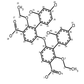 CCOc1c([N+](=O)[O-])ccc(Oc2ccc([N+](=O)[O-])c(OCC)c2-c2ccc(Cl)cc2Cl)c1-c1ccc(Cl)cc1Cl